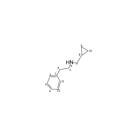 c1ccc(CCNCC2CC2)cc1